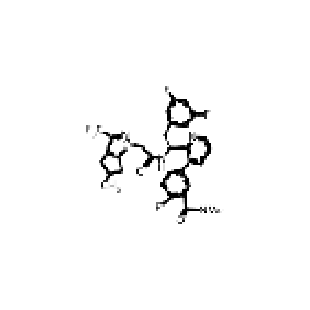 CNC(=O)c1cc(-c2cccnc2[C@H](Cc2cc(F)cc(F)c2)NC(=O)Cn2nc(C(F)(F)F)c3c2CC(C)C3)ccc1F